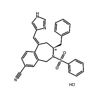 Cl.N#Cc1ccc2c(c1)CN(S(=O)(=O)c1ccccc1)[C@H](Cc1ccccc1)CC2=Cc1c[nH]cn1